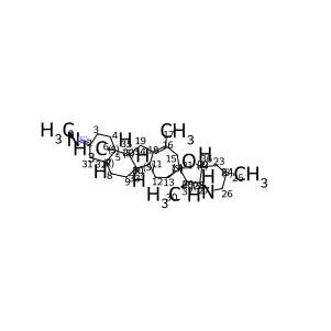 C/N=C1\CC[C@@]2(C)[C@H](CC[C@H]3[C@@H]4CC[C@@]5(CC(C)=C4C[C@@H]32)O[C@@H]2C[C@H](C)CN[C@H]2[C@H]5C)C1